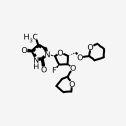 Cc1cn([C@@H]2O[C@H](COC3CCCCO3)[C@@H](OC3CCCCO3)[C@H]2F)c(=O)[nH]c1=O